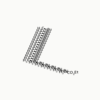 CCCCC.CCCCC.CCCCC.CCCCC.CCCCC.CCCCC.CCCCC.CCCCC.CCCCC.CCCCC.CCCCC.CCCCC.CCCCC.CCCCC.CCCCC.CCCCC.CCCCC.CCCCC.CCCCC.CCCCC.CCOC(C)=O